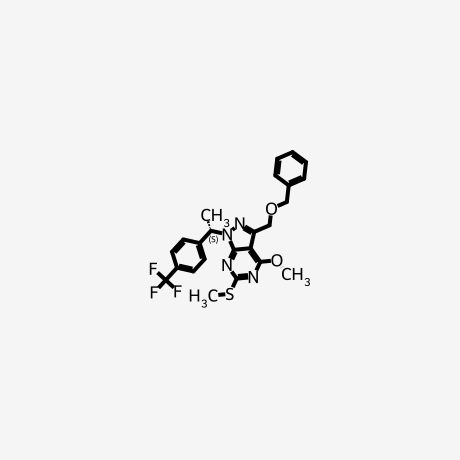 COc1nc(SC)nc2c1c(COCc1ccccc1)nn2[C@@H](C)c1ccc(C(F)(F)F)cc1